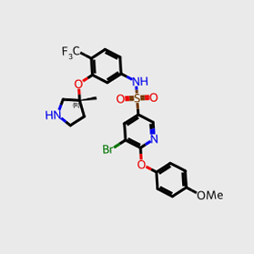 COc1ccc(Oc2ncc(S(=O)(=O)Nc3ccc(C(F)(F)F)c(O[C@]4(C)CCNC4)c3)cc2Br)cc1